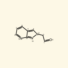 O=CCn1cc2cccnc2n1